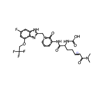 CN(C)C(=O)/C=C/CCC(NC(=O)O)C(=O)Nc1cccn(Cc2nc3c(OCC(F)(F)F)cc(F)cc3[nH]2)c1=O